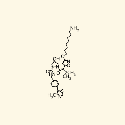 Cc1ncsc1-c1ccc(CNC(=O)[C@@H]2C[C@@H](O)CN2C(=O)[C@@H](c2cc(OCCCCCCCCN)no2)C(C)C)cc1